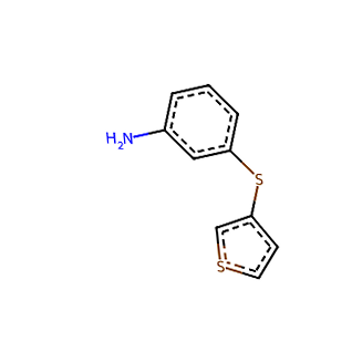 Nc1cccc(Sc2ccsc2)c1